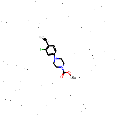 C#Cc1ccc(N2CCN(C(=O)OC(C)(C)C)CC2)cc1F